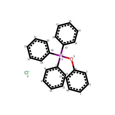 [Cl-].c1ccc(O[P+](c2ccccc2)(c2ccccc2)c2ccccc2)cc1